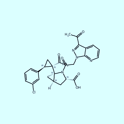 CC(=O)c1nn(CC(=O)N2[C@H](C(=O)O)C[C@H]3C[C@@]32[C@]2(C(N)=O)C[C@@H]2c2cccc(Cl)c2)c2ncccc12